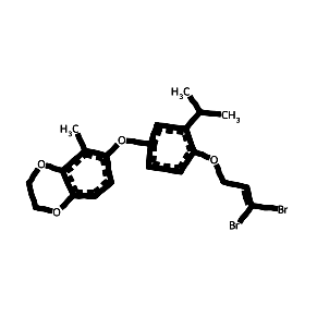 Cc1c(Oc2ccc(OCC=C(Br)Br)c(C(C)C)c2)ccc2c1OCCO2